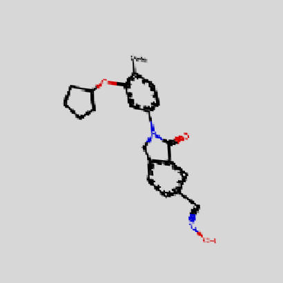 COc1ccc(N2Cc3ccc(C=NO)cc3C2=O)cc1OC1CCCC1